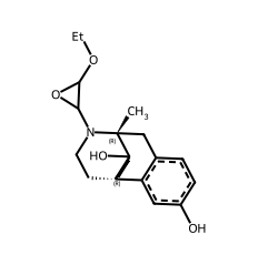 CCOC1OC1N1CC[C@@]23CCCCC2(O)[C@@]1(C)Cc1ccc(O)cc13